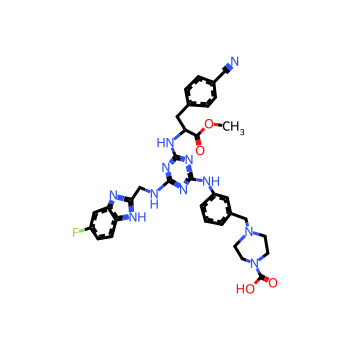 COC(=O)C(Cc1ccc(C#N)cc1)Nc1nc(NCc2nc3cc(F)ccc3[nH]2)nc(Nc2cccc(CN3CCN(C(=O)O)CC3)c2)n1